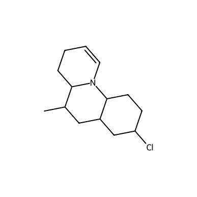 CC1CC2CC(Cl)CCC2N2C=CCCC12